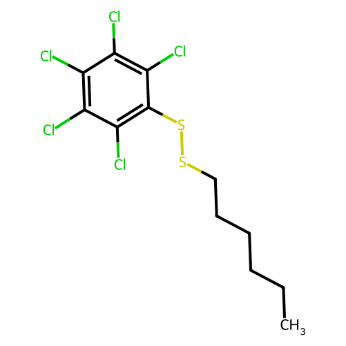 CCCCCCSSc1c(Cl)c(Cl)c(Cl)c(Cl)c1Cl